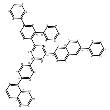 c1ccc(-c2ccc(-c3nc(-c4ccc(-c5cccc6ccccc56)cc4)nc(-c4ccc5cc(-c6ccccc6)ccc5c4)n3)c(-c3ccccc3)c2)cc1